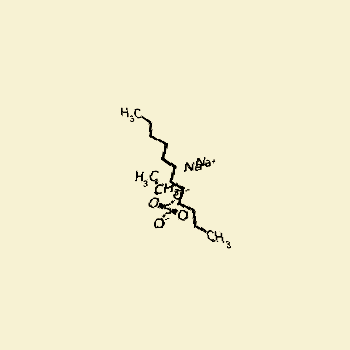 CC.CCCCCCCCCCCC.O=S(=O)([O-])[O-].[Na+].[Na+]